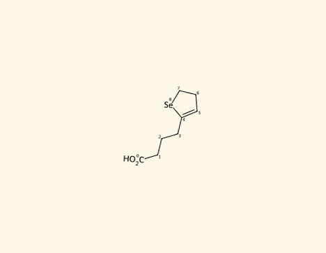 O=C(O)CCCC1=CCC[Se]1